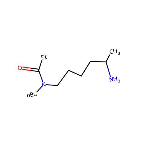 CCCCN(CCCCC(C)N)C(=O)CC